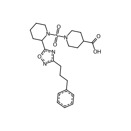 O=C(O)C1CCN(S(=O)(=O)N2CCCCC2c2nc(CCCc3ccccc3)no2)CC1